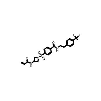 C=CC(=O)NC1CN(S(=O)(=O)c2ccc(C(=O)NCCc3ccc(C(F)(F)F)cc3)cc2)C1